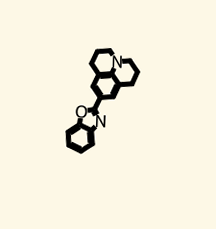 c1ccc2oc(-c3cc4c5c(c3)CCCN5CCC4)nc2c1